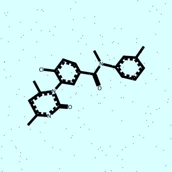 Cc1cccc(N(C)C(=O)c2ccc(Cl)c(-n3c(C)cc(C)nc3=O)c2)c1